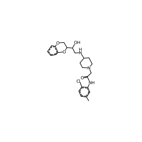 Cc1ccc(Cl)c(NC(=O)CN2CCC(NCC(O)C3COc4ccccc4O3)CC2)c1